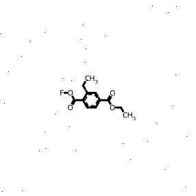 CCOC(=O)c1ccc(C(=O)OF)c(CC)c1